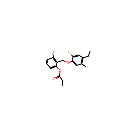 CCC(=O)Oc1cccc(Br)c1COc1cc(C)c(CC)cc1F